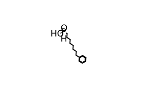 O=[PH](O)CCCCCCCCc1ccccc1